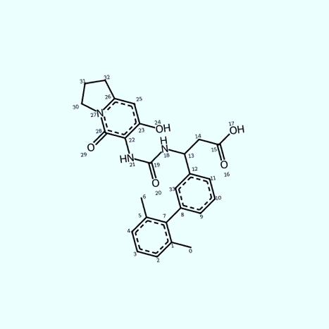 Cc1cccc(C)c1-c1cccc(C(CC(=O)O)NC(=O)Nc2c(O)cc3n(c2=O)CCC3)c1